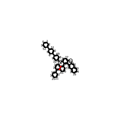 c1ccc(-c2ccc(-c3ccc(N(c4ccc(-c5ccccc5)cc4)c4ccc5oc6cc7ccccc7cc6c5c4-c4ccccc4)cc3)cc2)cc1